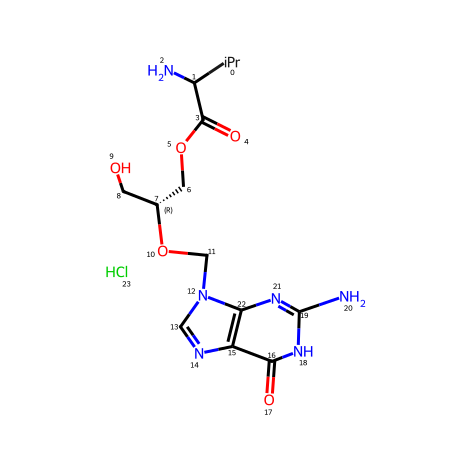 CC(C)C(N)C(=O)OC[C@@H](CO)OCn1cnc2c(=O)[nH]c(N)nc21.Cl